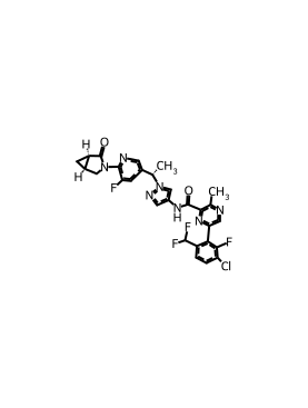 Cc1ncc(-c2c(C(F)F)ccc(Cl)c2F)nc1C(=O)Nc1cnn([C@@H](C)c2cnc(N3C[C@H]4C[C@H]4C3=O)c(F)c2)c1